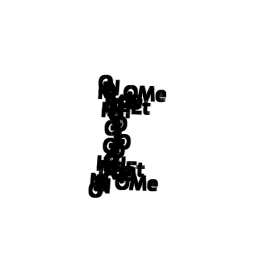 CCOc1cc2c(cc1OC)C(c1cnc(=O)n(C)c1)=N[C@@H]1CC[C@@H](OC(=O)CCC(=O)C(=O)O[C@@H]3CC[C@H]4N=C(c5cnc(=O)n(C)c5)c5cc(OC)c(OCC)cc5[C@H]4C3)C[C@H]21